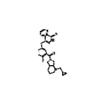 O=C(c1cc(Cc2n[nH]c(=O)c3ccccc23)ccc1F)N1CC2CCCN(CC3CC3)C2C1